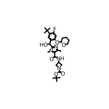 Cc1nc(C(O)c2cc(C(C)(C)C)c(F)cc2OC2CCCCO2)n(C)c1C(=O)NC1CN(C(=O)OC(C)(C)C)C1